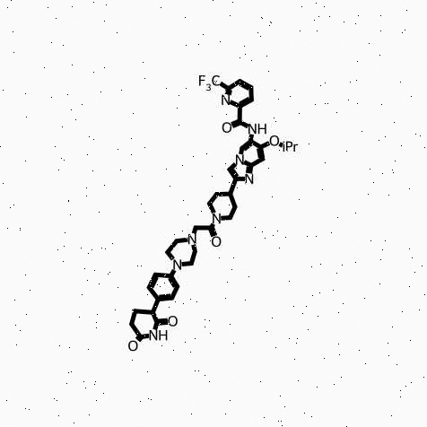 CC(C)Oc1cc2nc(C3CCN(C(=O)CN4CCN(c5ccc(C6CCC(=O)NC6=O)cc5)CC4)CC3)cn2cc1NC(=O)c1cccc(C(F)(F)F)n1